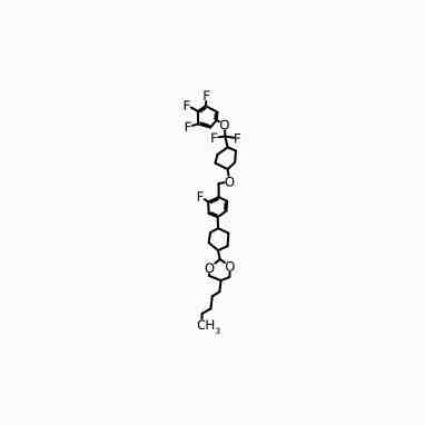 CCCCCC1COC(C2CCC(c3ccc(COC4CCC(C(F)(F)Oc5cc(F)c(F)c(F)c5)CC4)c(F)c3)CC2)OC1